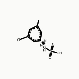 Cc1cccc(Cl)c1.N#N.O=S(=O)(O)O